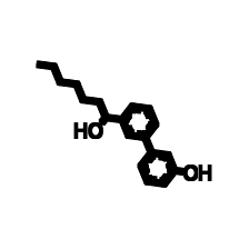 CCCCCCC(O)c1cccc(-c2cccc(O)c2)c1